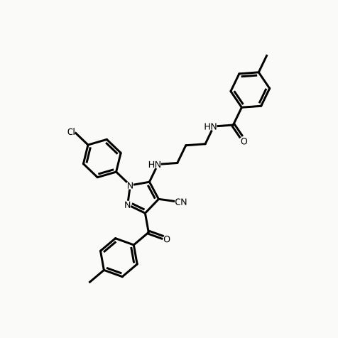 Cc1ccc(C(=O)NCCCNc2c(C#N)c(C(=O)c3ccc(C)cc3)nn2-c2ccc(Cl)cc2)cc1